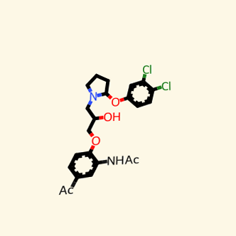 CC(=O)Nc1cc(C(C)=O)ccc1OCC(O)CN1CCCC1Oc1ccc(Cl)c(Cl)c1